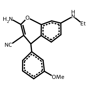 CCNc1ccc2c(c1)OC(N)=C(C#N)C2c1cccc(OC)c1